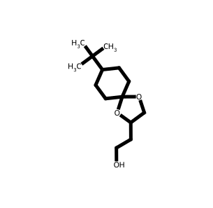 CC(C)(C)C1CCC2(CC1)OCC(CCO)O2